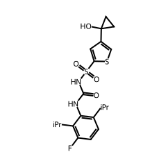 CC(C)c1ccc(F)c(C(C)C)c1NC(=O)NS(=O)(=O)c1cc(C2(O)CC2)cs1